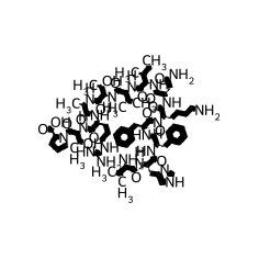 CC[C@H](C)[C@H](NC(=O)[C@H](CC(N)=O)NC(=O)[C@H](CCCCN)NC(=O)[C@H](Cc1ccccc1)NC(=O)[C@H](Cc1ccccc1)NC(=O)[C@H](Cc1c[nH]cn1)NC(=O)[C@@H](N)C(C)C)C(=O)N[C@H](C(=O)N[C@H](C(=O)N[C@@H](C)C(=O)N[C@@H](CCCNC(=N)N)C(=O)N[C@H](C(=O)N1CCC[C@H]1C(=O)O)[C@@H](C)O)[C@@H](C)O)C(C)C